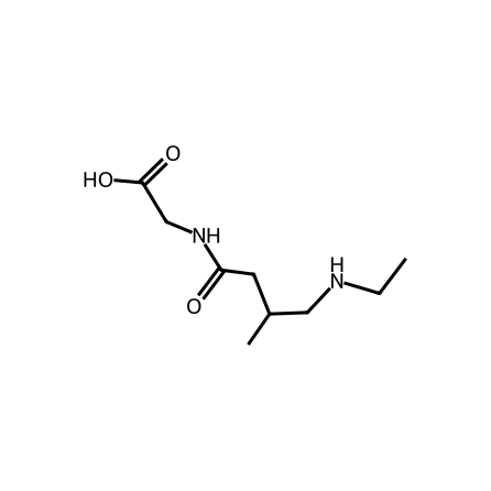 CCNCC(C)CC(=O)NCC(=O)O